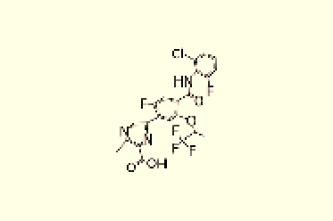 Cc1ncc(-c2cc(OC(C)C(F)(F)F)c(C(=O)Nc3c(F)cccc3Cl)cc2F)nc1C(=O)O